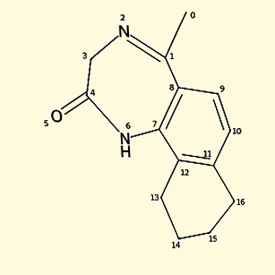 CC1=NCC(=O)Nc2c1ccc1c2CCCC1